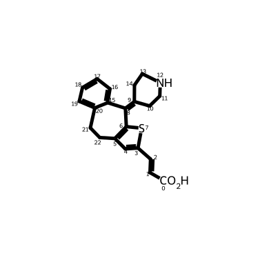 O=C(O)C=Cc1cc2c(s1)C(=C1CCNCC1)c1ccccc1CC2